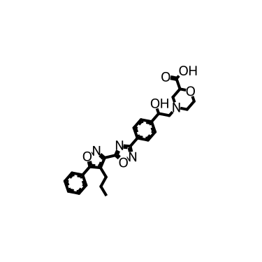 CCCc1c(-c2nc(-c3ccc(C(O)CN4CCOC(C(=O)O)C4)cc3)no2)noc1-c1ccccc1